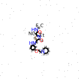 CCn1c(=C(C#N)C(=O)NCC(F)(F)F)sc(=CNc2cccc(OCCN3CCCCCC3)c2)c1=O